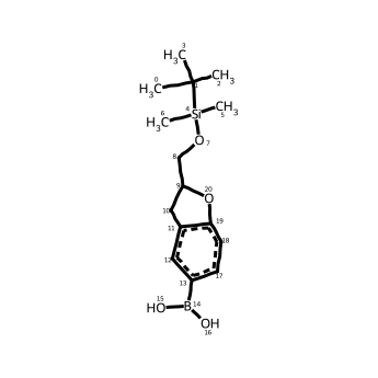 CC(C)(C)[Si](C)(C)OCC1Cc2cc(B(O)O)ccc2O1